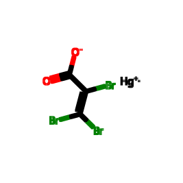 O=C([O-])C(Br)=C(Br)Br.[Hg+]